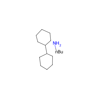 C1CCC(C2CCCCC2)CC1.CCCCN